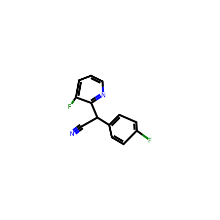 N#CC(c1ccc(F)cc1)c1ncccc1F